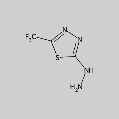 NNc1nnc(C(F)(F)F)s1